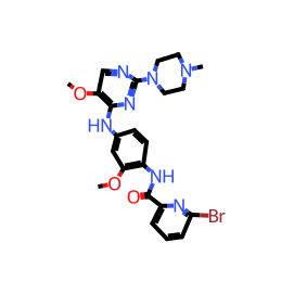 COc1cc(Nc2nc(N3CCN(C)CC3)ncc2OC)ccc1NC(=O)c1cccc(Br)n1